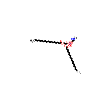 [2H]NCCOP(=O)(O)OCC(COC(=O)CCCCCCCCCCCCCCCCC)OC(=O)CCCCCCCCCCCCCCCCC